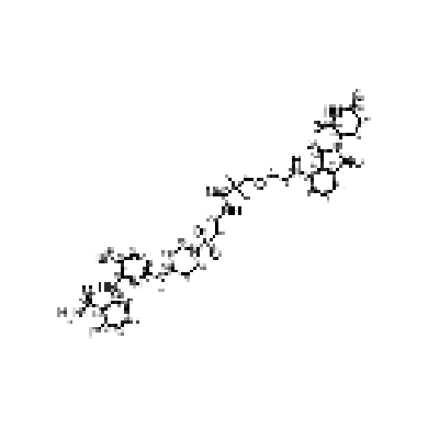 CC(C)(COCCNc1cccc2c1C(=O)N(C1CCC(=O)NC1=O)C2=O)C(=O)NCCS(=O)(=O)N1CCC(Nc2ncc(Br)c(Nc3cccc(F)c3C(N)=O)n2)CC1